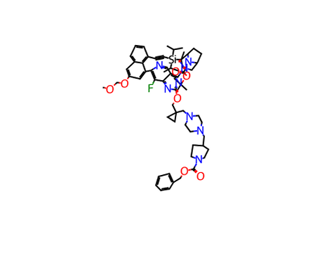 COCOc1cc(-c2ncc3c(N4CC5CCC(C4)N5C(=O)OC(C)(C)C)nc(OCC4(CN5CCN(CC6CCN(C(=O)OCc7ccccc7)CC6)CC5)CC4)nc3c2F)c2c(C#C[Si](C(C)C)(C(C)C)C(C)C)cccc2c1